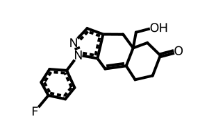 O=C1CCC2=Cc3c(cnn3-c3ccc(F)cc3)CC2(CO)C1